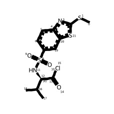 CSc1nc2ccc(S(=O)(=O)N[C@@H](C(=O)Cl)C(C)C)cc2s1